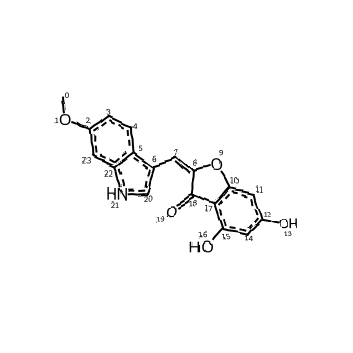 COc1ccc2c(/C=C3/Oc4cc(O)cc(O)c4C3=O)c[nH]c2c1